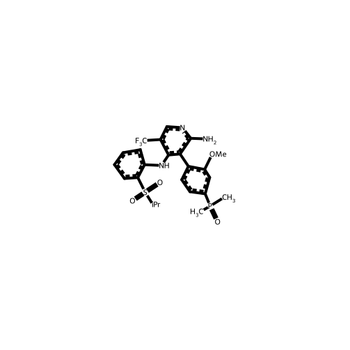 COc1cc(P(C)(C)=O)ccc1-c1c(N)ncc(C(F)(F)F)c1Nc1ccccc1S(=O)(=O)C(C)C